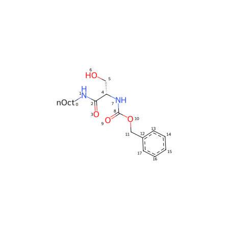 CCCCCCCCNC(=O)[C@H](CO)NC(=O)OCc1ccccc1